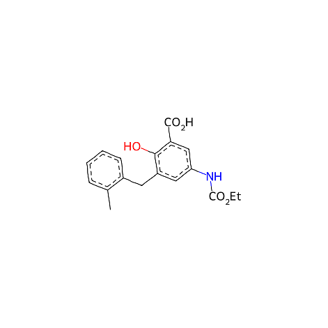 CCOC(=O)Nc1cc(Cc2ccccc2C)c(O)c(C(=O)O)c1